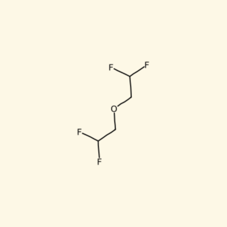 FC(F)COCC(F)F